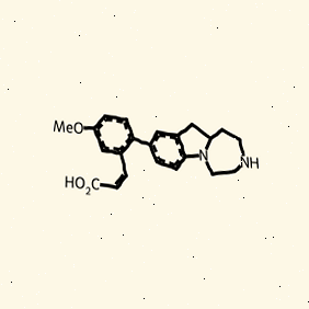 COc1ccc(-c2ccc3c(c2)CC2CCNCCN32)c(/C=C\C(=O)O)c1